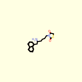 NC(CCCCN1C(=O)CSC1=O)Cc1cccc2ccccc12